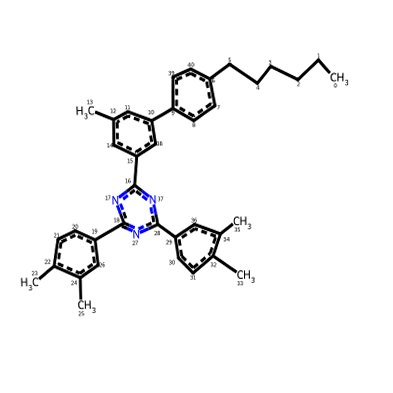 CCCCCCc1ccc(-c2cc(C)cc(-c3nc(-c4ccc(C)c(C)c4)nc(-c4ccc(C)c(C)c4)n3)c2)cc1